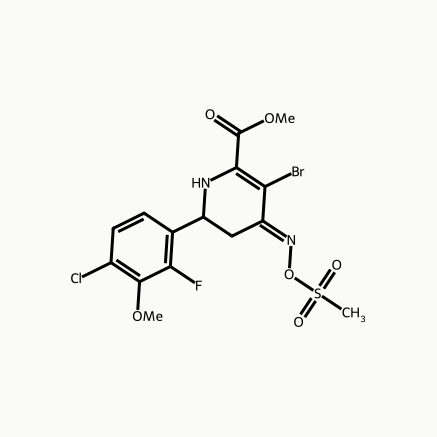 COC(=O)C1=C(Br)/C(=N/OS(C)(=O)=O)CC(c2ccc(Cl)c(OC)c2F)N1